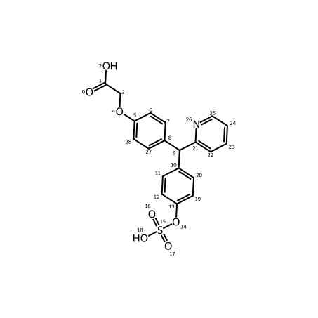 O=C(O)COc1ccc(C(c2ccc(OS(=O)(=O)O)cc2)c2ccccn2)cc1